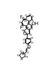 Oc1cc2c(c3c1=c1ccccc1=C(F)C=C3F)COC(c1ccc(OCCN3CCCC3)cc1)C=2